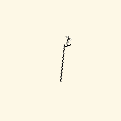 CCCCCCCCCCCCCCCCCCOCCOC(C)CC(CC)OCCC(=O)O